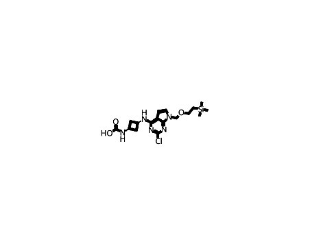 C[Si](C)(C)CCOCn1ccc2c(N[C@H]3C[C@H](NC(=O)O)C3)nc(Cl)nc21